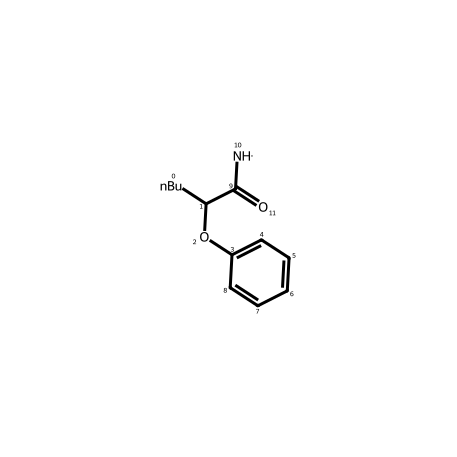 CCCCC(Oc1ccccc1)C([NH])=O